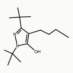 CCCCc1c(C(C)(C)C)nn(C(C)(C)C)c1O